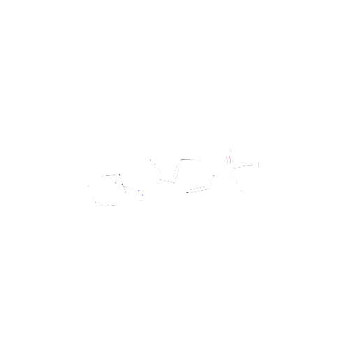 CS(=O)(=O)c1ccc2c(NC3CN4CCC3CC4)noc2c1